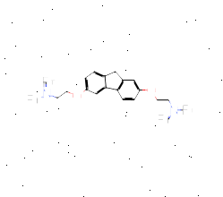 CCN(CC)CCOc1ccc2c(c1)Cc1ccc(OCCN(CC)CC)cc1-2